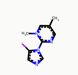 Cc1cnc(-n2cncc2I)[n+](C)c1